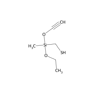 C#CO[Si](C)(CS)OCC